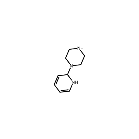 [C]1=CC=CC(N2CCNCC2)N1